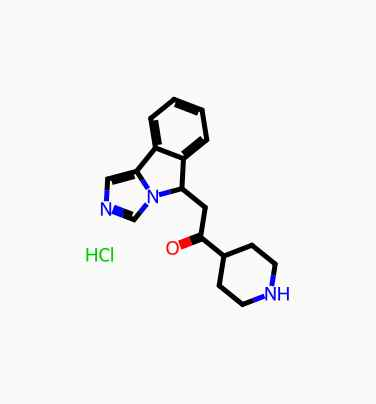 Cl.O=C(CC1c2ccccc2-c2cncn21)C1CCNCC1